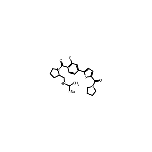 CCCCC(C)NCC1CCCN1C(=O)c1ccc(-c2ccc(C(=O)N3CCCC3)s2)cc1F